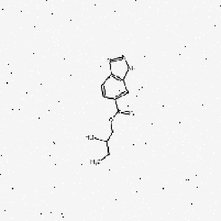 CCC(O)COC(=O)c1ccc2nn[nH]c2c1